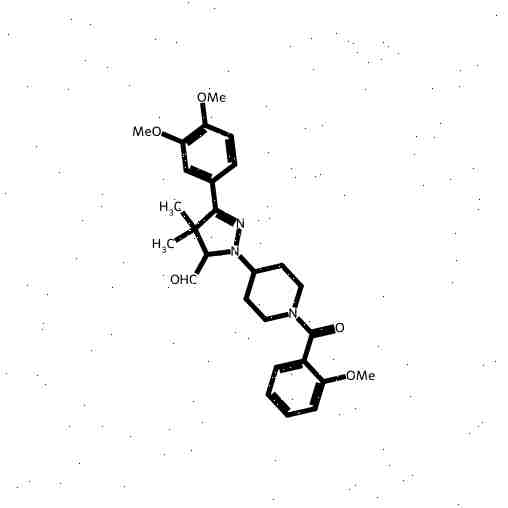 COc1ccc(C2=NN(C3CCN(C(=O)c4ccccc4OC)CC3)C(C=O)C2(C)C)cc1OC